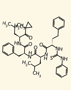 CC(C)C[C@H](NC(=O)[C@H](CCc1ccccc1)NC(=S)Nc1ccccc1)C(=O)N[C@@H](Cc1ccccc1)C(=O)N[C@@H](CC(C)C)C(=O)C1(C)CC1